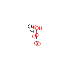 CC1(C)OCC(CCC(=O)Oc2cc(O)c3c(=O)c4ccccc4ccc3c2)O1